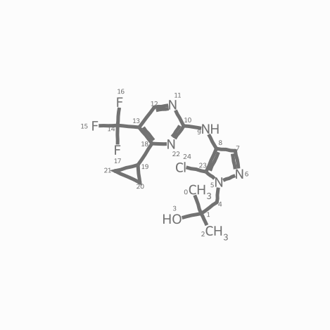 CC(C)(O)Cn1ncc(Nc2ncc(C(F)(F)F)c(C3CC3)n2)c1Cl